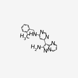 Cc1ccccc1CNc1cc(-c2c(N)nn3cccnc23)ncn1